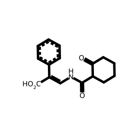 O=C(O)C(=CNC(=O)C1CCCCC1=O)c1ccccc1